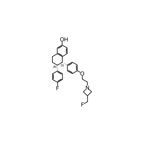 Oc1ccc2c(c1)CC[C@@H](c1ccc(F)cc1)[C@H]2c1ccc(OCCN2CC(CF)C2)cc1